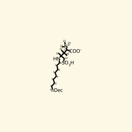 CCCCCCCCCCCCCCCCCCNC(C)(CS(=O)(=O)O)C(C)(C)C(C(=O)[O-])[N+](C)(C)C